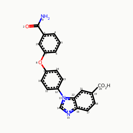 NC(=O)c1cccc(Oc2ccc(-n3cnc4ccc(C(=O)O)cc43)cc2)c1